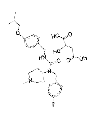 CC(C)COc1ccc(CNC(=O)N(Cc2ccc(F)cc2)C2CCN(C)CC2)cc1.O=C(O)CC(O)C(=O)O